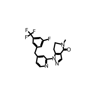 CN1CCc2c(cnn2-c2cc(Cc3cc(F)cc(C(F)(F)F)c3)ccn2)C1=O